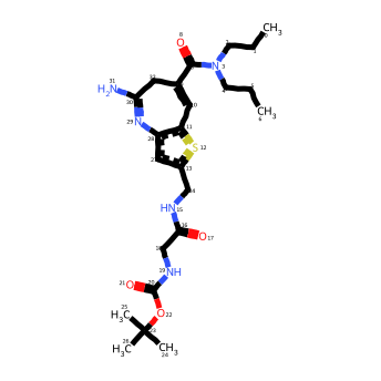 CCCN(CCC)C(=O)C1=Cc2sc(CNC(=O)CNC(=O)OC(C)(C)C)cc2N=C(N)C1